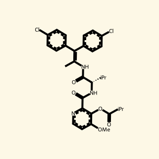 COc1ccnc(C(=O)N[C@H](C(=O)NC(C)=C(c2ccc(Cl)cc2)c2ccc(Cl)cc2)C(C)C)c1OC(=O)C(C)C